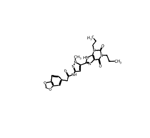 CCCn1c(=O)c2nc(-c3cc(NC(=O)Cc4ccc5c(c4)OCO5)nn3C)[nH]c2n(CCC)c1=O